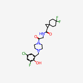 O=C(NCC(=O)N1CCN(Cc2cc(Cl)cc(F)c2O)CC1)C1CC12CCC(F)(F)CC2